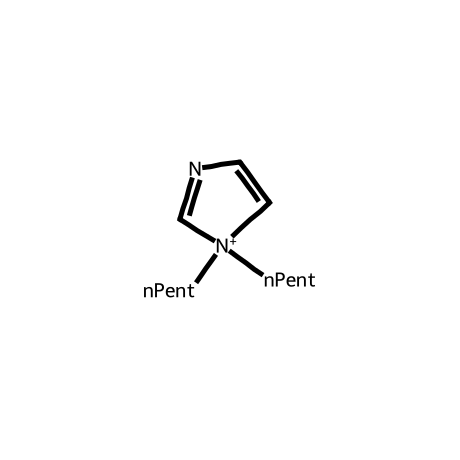 CCCCC[N+]1(CCCCC)C=CN=C1